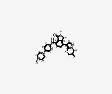 CC1COc2c(-c3ccc(Nc4ccc(N5CCN(C)CC5)cn4)c4c3CNC4=O)cnn2C1